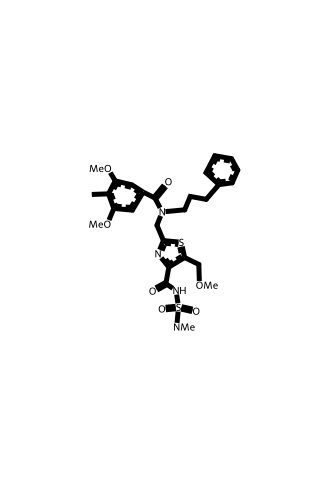 CNS(=O)(=O)NC(=O)c1nc(CN(CCCc2ccccc2)C(=O)c2cc(OC)c(C)c(OC)c2)sc1COC